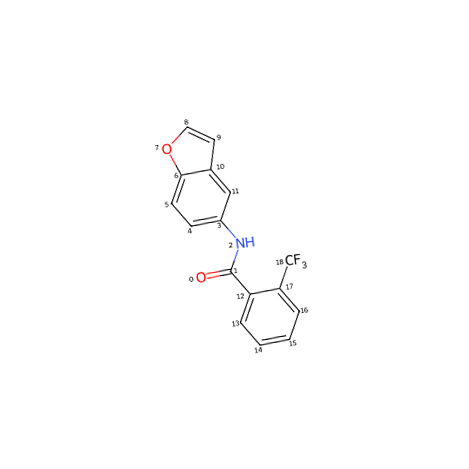 O=C(Nc1ccc2occc2c1)c1ccccc1C(F)(F)F